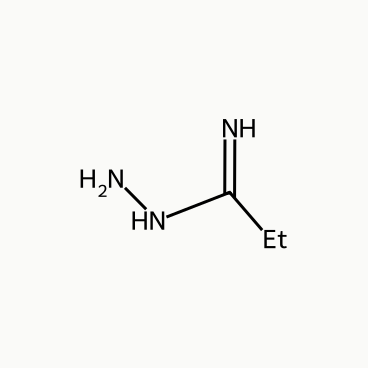 CCC(=N)NN